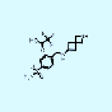 NS(=O)(=O)c1ccc(CNC2CC3(CNC3)C2)cc1.O=C(O)C(F)(F)F